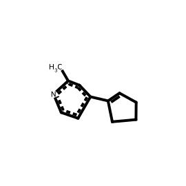 Cc1cc(C2=CCCC2)ccn1